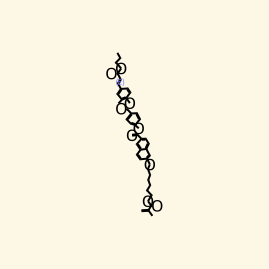 C=C(C)C(=O)OCCCCCCOc1ccc2cc(C(=O)Oc3ccc(C(=O)Oc4ccc(/C=C/C(=O)OCCC)cc4C)cc3)ccc2c1